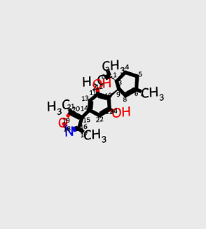 C=C(C)[C@@H]1CCC(C)=C[C@H]1c1c(O)cc(-c2c(C)noc2C)cc1O